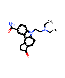 CCN(CC)CCn1c2ccc(C(N)=O)cc2c2c3c(ccc21)C(=O)CC3